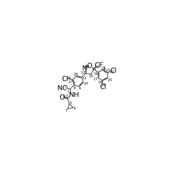 N#CC(NC(=O)C1CC1)c1ccc(C2=NOC(c3cc(Cl)cc(Cl)c3)(C(F)(F)F)C2)cc1Cl